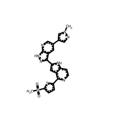 Cn1cc(-c2cnc3[nH]nc(-c4cc5c(-c6ccc(S(C)(=O)=O)s6)nccc5[nH]4)c3c2)cn1